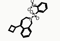 O=[N+]([O-])c1ccccc1S(=O)(=O)N1CC=C(C2CCC2)c2ccccc2C1